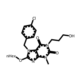 CCCCCCOc1nc2c(c(=O)n(CCCO)c(=O)n2C)n1Cc1ccc(Cl)cc1